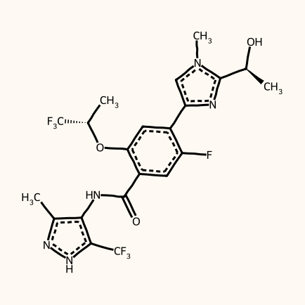 Cc1n[nH]c(C(F)(F)F)c1NC(=O)c1cc(F)c(-c2cn(C)c([C@H](C)O)n2)cc1O[C@@H](C)C(F)(F)F